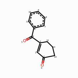 O=C1C=C(C(=O)c2ccccc2)CCC1